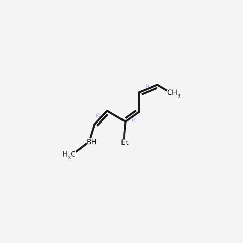 CB\C=C/C(=C\C=C/C)CC